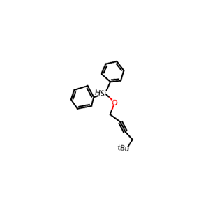 CC(C)(C)CC#CCO[SiH](c1ccccc1)c1ccccc1